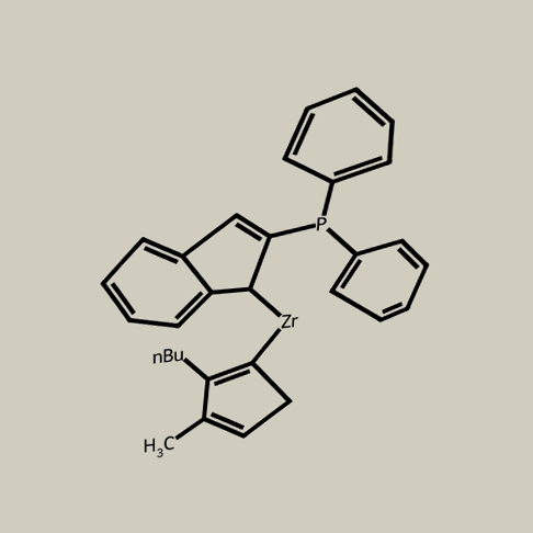 CCCCC1=[C]([Zr][CH]2C(P(c3ccccc3)c3ccccc3)=Cc3ccccc32)CC=C1C